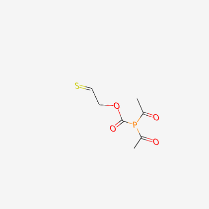 CC(=O)P(C(C)=O)C(=O)OCC=S